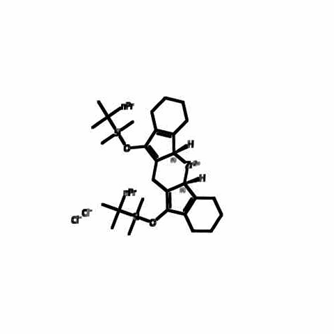 CCCC(C)(C)[Si](C)(C)OC1=C2CC3=C(O[Si](C)(C)C(C)(C)CCC)C4=C(CCCC4)[C@@H]3[Zr+2][C@@H]2C2=C1CCCC2.[Cl-].[Cl-]